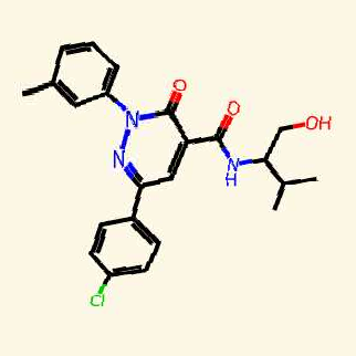 Cc1cccc(-n2nc(-c3ccc(Cl)cc3)cc(C(=O)NC(CO)C(C)C)c2=O)c1